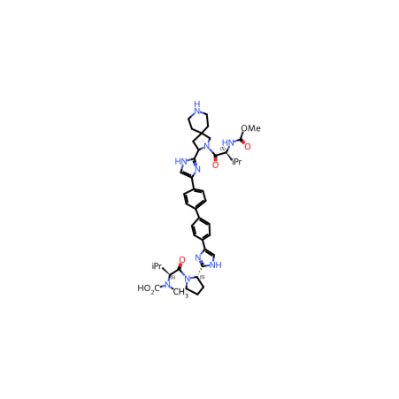 COC(=O)N[C@H](C(=O)N1CC2(CCNCC2)CC1c1nc(-c2ccc(-c3ccc(-c4c[nH]c([C@@H]5CCCN5C(=O)[C@H](C(C)C)N(C)C(=O)O)n4)cc3)cc2)c[nH]1)C(C)C